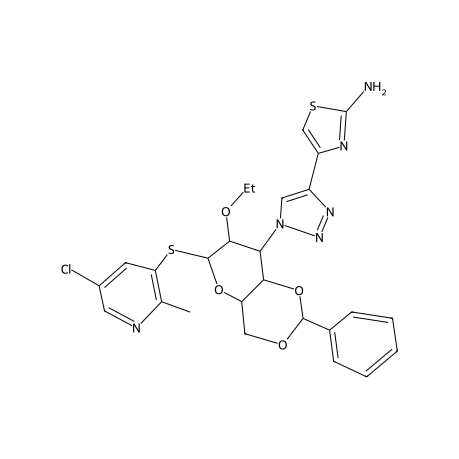 CCOC1C(Sc2cc(Cl)cnc2C)OC2COC(c3ccccc3)OC2C1n1cc(-c2csc(N)n2)nn1